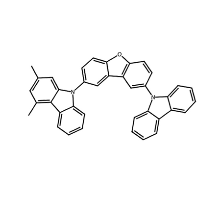 Cc1cc(C)c2c3ccccc3n(-c3ccc4oc5ccc(-n6c7ccccc7c7ccccc76)cc5c4c3)c2c1